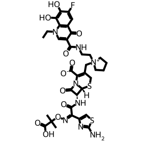 CCn1cc(C(=O)NCC[N+]2(CC3=C(C(=O)[O-])N4C(=O)[C@@H](NC(=O)/C(=N\OC(C)(C)C(=O)O)c5csc(N)n5)[C@H]4SC3)CCCC2)c(=O)c2cc(F)c(O)c(O)c21